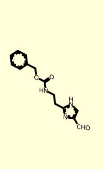 O=Cc1c[nH]c(CCNC(=O)OCc2ccccc2)n1